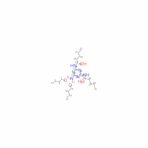 CCCCOCN(COCCCC)c1nc(NC(O)CCCC)nc(NC(O)CCCC)n1